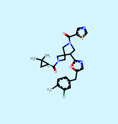 CC1(C)C[C@@H]1C(=O)N1CC2(CN(C(=O)c3cncs3)CC2c2ncc(Cc3ccc(C(F)(F)F)c(Cl)c3)o2)C1